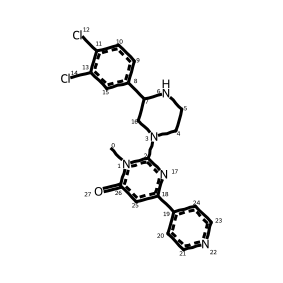 Cn1c(N2CCNC(c3ccc(Cl)c(Cl)c3)C2)nc(-c2ccncc2)cc1=O